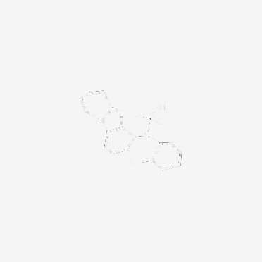 Cc1ccccc1N(c1cccc2c1oc1ccccc12)C(C)(C)C